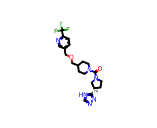 O=C(N1CCC(COCc2ccc(C(F)(F)F)nc2)CC1)N1CC[C@H](c2nnc[nH]2)C1